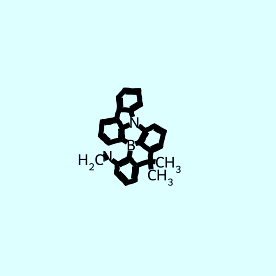 C=Nc1cccc2c1B1c3c(cccc3C2(C)C)-n2c3ccccc3c3cccc1c32